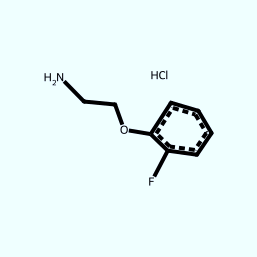 Cl.NCCOc1ccccc1F